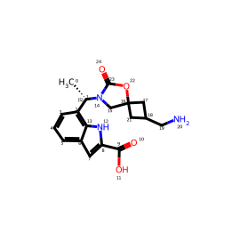 C[C@@H](c1cccc2cc(C(=O)O)[nH]c12)N1CC2(CC(CN)C2)OC1=O